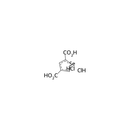 Cl.Cl.O=C(O)c1c[se]c(C(=O)O)c1